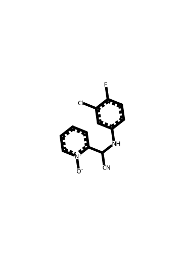 N#CC(Nc1ccc(F)c(Cl)c1)c1cccc[n+]1[O-]